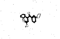 COc1cc(C(=O)c2cccc(Cl)c2)c2ccccc2n1